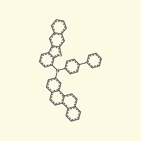 c1ccc(-c2ccc(N(c3ccc4ccc5c6ccccc6ccc5c4c3)c3cccc4c3sc3cc5ccccc5cc34)cc2)cc1